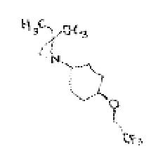 CC1(C)C[N@@]1[C@H]1CC[C@H](OCC(F)(F)F)CC1